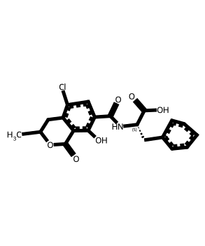 CC1Cc2c(Cl)cc(C(=O)N[C@@H](Cc3ccccc3)C(=O)O)c(O)c2C(=O)O1